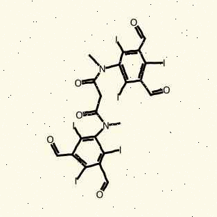 CN(C(=O)CC(=O)N(C)c1c(I)c(C=O)c(I)c(C=O)c1I)c1c(I)c(C=O)c(I)c(C=O)c1I